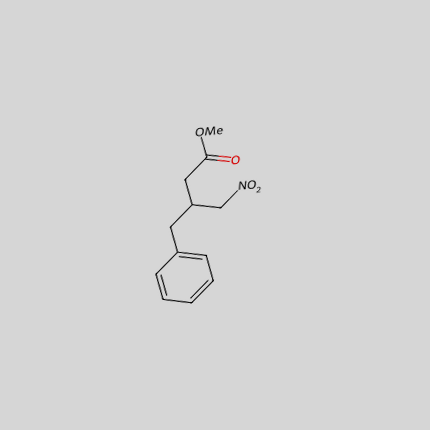 COC(=O)CC(Cc1ccccc1)C[N+](=O)[O-]